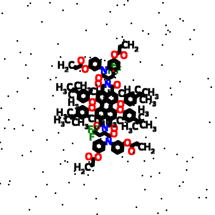 C=CC(=O)Oc1cccc(N(C(=O)C(CC(F)(F)F)N2C(=O)c3cc(Oc4ccc(C(C)(C)C)cc4C)c4c5c(Oc6ccc(C(C)(C)C)cc6C)cc6c7c(cc(Oc8ccc(C(C)(C)C)cc8C)c(c8c(Oc9ccc(C(C)(C)C)cc9C)cc(c3c48)C2=O)c75)C(=O)N(C(CC(F)(F)F)C(=O)N(c2cccc(OC(=O)C=C)c2)c2cccc(OC(=O)C=C)c2)C6=O)c2cccc(OC(=O)C=C)c2)c1